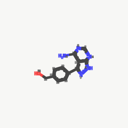 Nc1ncnc2[nH]nc(-c3ccc(CO)cc3)c12